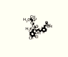 CC(C)C(=O)OCOC(=O)N(C(O)CCC1CCCC(C[PH](=O)O)C1)[C@@H](C)c1ccc(Cl)c(Cl)c1